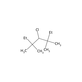 CCC(C)(C)C(Cl)C(C)(C)CC